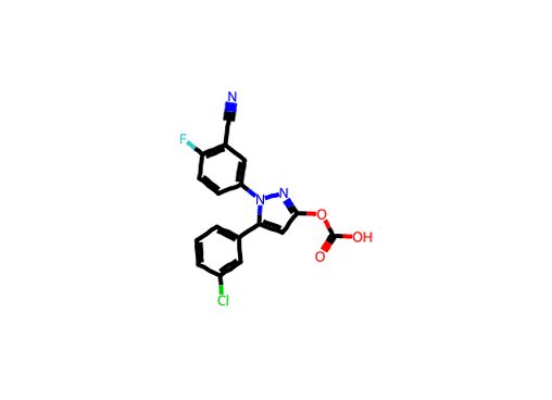 N#Cc1cc(-n2nc(OC(=O)O)cc2-c2cccc(Cl)c2)ccc1F